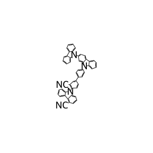 N#Cc1cc(-c2ccc(-n3c4ccccc4c4ccc(-n5c6ccccc6c6ccccc65)cc43)cc2)ccc1-n1c2ccccc2c2c(C#N)cccc21